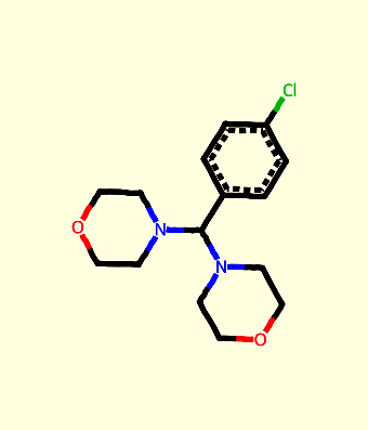 Clc1ccc(C(N2CCOCC2)N2CCOCC2)cc1